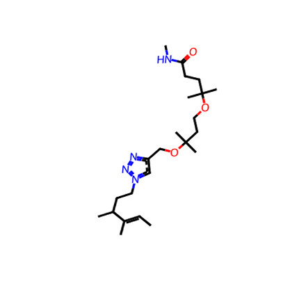 CC=C(C)C(C)CCn1cc(COC(C)(C)CCOC(C)(C)CCC(=O)NC)nn1